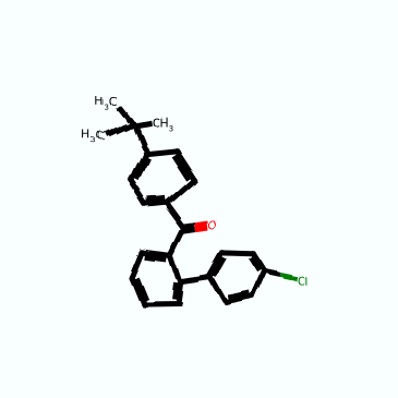 CC(C)(C)c1ccc(C(=O)c2ccccc2-c2ccc(Cl)cc2)cc1